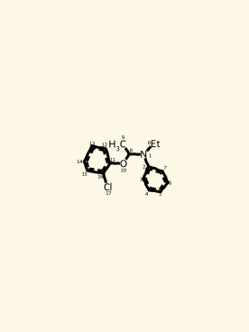 CCN(c1ccccc1)C(C)Oc1ccccc1Cl